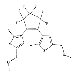 COCc1cc(C2=C(c3cc(COC)sc3C)C(F)(F)C(F)(F)C2(F)F)c(C)s1